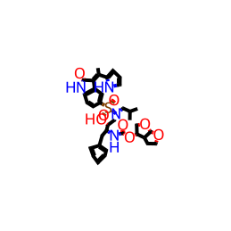 CC(=C1C(=O)Nc2ccc(S(=O)(=O)N(CC(C)C)CC(O)C(Cc3ccccc3)NC(=O)OC3COC4OCCC34)cc21)c1ccc[nH]1